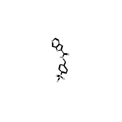 O=C(NCc1ccc(S(=O)(=O)Cl)cc1)c1cc2ccncc2o1